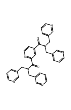 O=C(c1ccnc(C(=O)N(Cc2cccnc2)Cc2cccnc2)c1)N(Cc1cccnc1)Cc1cccnc1